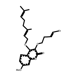 CC/C=C/CCOc1c(OC/C=C(\C)CCC=C(C)C)c2ccc(OC)cc2oc1=O